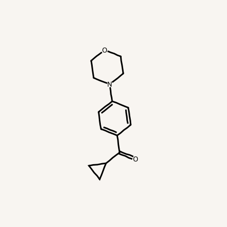 O=C(c1ccc(N2CCOCC2)cc1)C1CC1